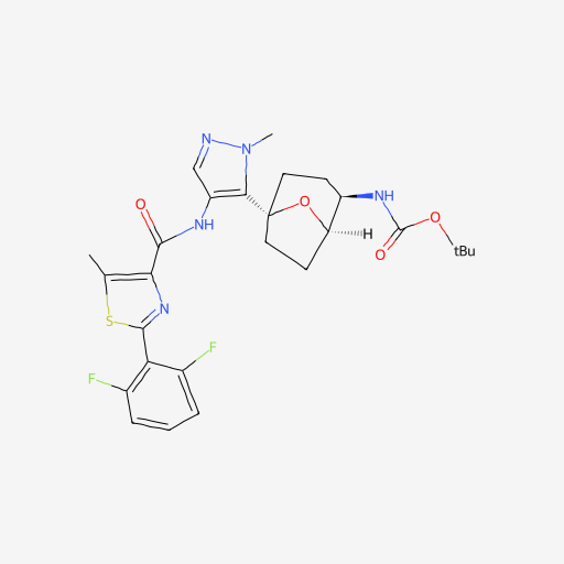 Cc1sc(-c2c(F)cccc2F)nc1C(=O)Nc1cnn(C)c1[C@@]12CC[C@@H](NC(=O)OC(C)(C)C)[C@@H](CC1)O2